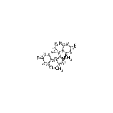 Cc1nn(C)c(C2(c3c(F)cc(F)cc3I)CC2F)c1-c1ccc(F)cc1Cl